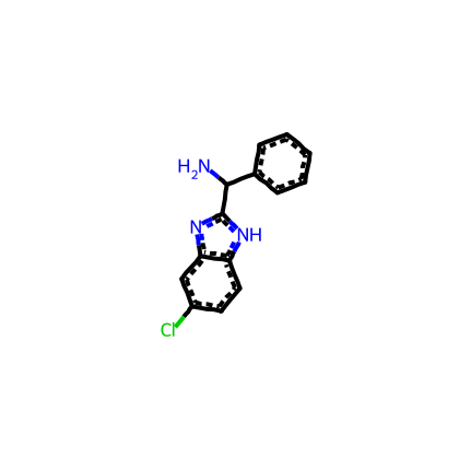 NC(c1ccccc1)c1nc2cc(Cl)ccc2[nH]1